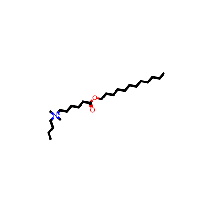 CCCCCCCCCCCCOC(=O)CCCCC[N+](C)(C)CCCC